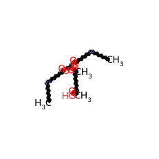 CCCCCCCC/C=C\CCCCCCCC(=O)OCC(COC(=O)CCCCCCC/C=C\CCCCCCCC)OC(=O)C(C)CCCCCCCCC(C)C(=O)O